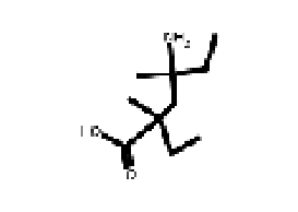 CCC(C)(C[C@](C)(N)CC)C(=O)O